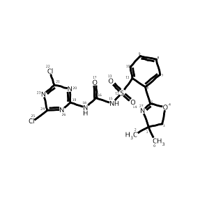 CC1(C)COC(c2ccccc2S(=O)(=O)NC(=O)Nc2nc(Cl)nc(Cl)n2)=N1